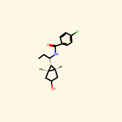 CCC(NC(=O)c1ccc(Cl)cc1)[C@H]1[C@@H]2CC(O)C[C@@H]21